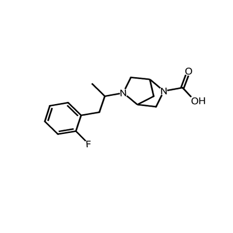 CC(Cc1ccccc1F)N1CC2CC1CN2C(=O)O